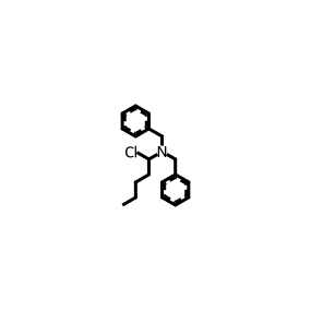 CCCCC(Cl)N(Cc1ccccc1)Cc1ccccc1